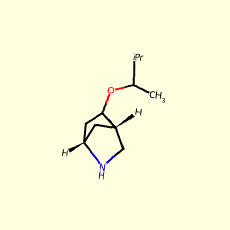 CC(C)C(C)OC1C[C@@H]2C[C@H]1CN2